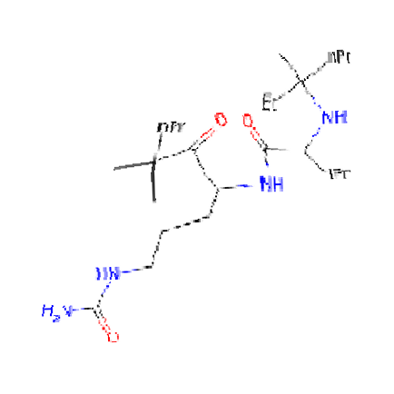 CCCC(C)(CC)NC(C(=O)NC(CCCNC(N)=O)C(=O)C(C)(C)CCC)C(C)C